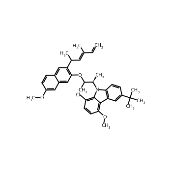 C=C/C(C)=C/C(C)c1cc2ccc(OC)cc2cc1OC(C)[C@@H](C)n1c2ccc(C(C)(C)C)cc2c2c(OC)ccc(Cl)c21